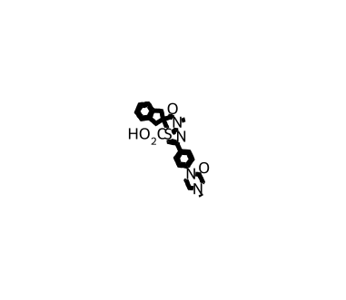 CN1CCN(c2ccc(-c3csc(N(C)C(=O)C4(CC(=O)O)Cc5ccccc5C4)n3)cc2)C(=O)C1